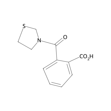 O=C(O)c1ccccc1C(=O)N1CCSC1